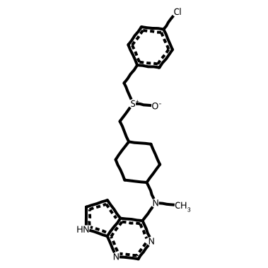 CN(c1ncnc2[nH]ccc12)C1CCC(C[S+]([O-])Cc2ccc(Cl)cc2)CC1